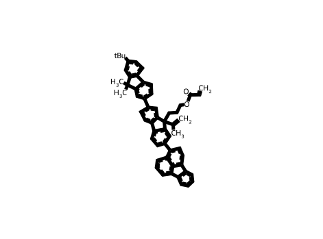 C=CC(=O)OCCCC1(C(=C)C)c2cc(-c3ccc4c(c3)C(C)(C)c3cc(C(C)(C)C)ccc3-4)ccc2-c2ccc(-c3ccc4c5c(cccc35)-c3ccccc3-4)cc21